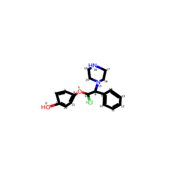 Oc1ccc(OC(Cl)C(c2ccccc2)N2CCNCC2)cc1